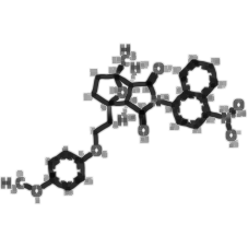 COc1ccc(OCC[C@@]23CC[C@@](C)(O2)[C@H]2C(=O)N(c4ccc([N+](=O)[O-])c5ccccc45)C(=O)[C@H]23)cc1